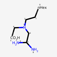 CCCCCCCCN(CC(=O)O)CC(N)N